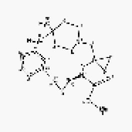 CC(C)(C)OC(=O)N(CC1(CN2CCC(C)(C(=O)O)CC2)CC1)[C@H]1C[C@@H]1c1ccccc1